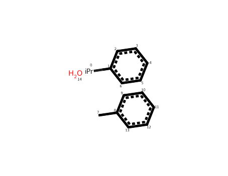 CC(C)c1ccccc1.Cc1ccccc1.O